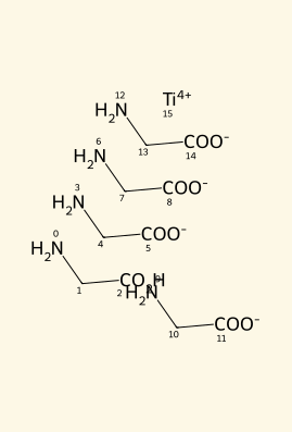 NCC(=O)O.NCC(=O)[O-].NCC(=O)[O-].NCC(=O)[O-].NCC(=O)[O-].[Ti+4]